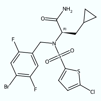 NC(=O)[C@@H](CC1CC1)N(Cc1cc(F)c(Br)cc1F)S(=O)(=O)c1ccc(Cl)s1